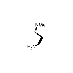 CNS/C=C\N